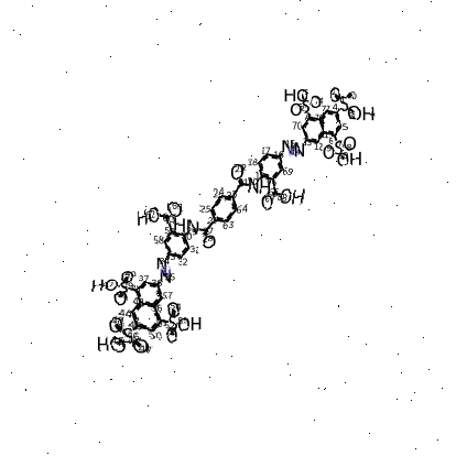 C=S(=O)(O)c1cc(S(=O)(=O)O)c2cc(/N=N/c3ccc(NC(=O)c4ccc(C(=O)Nc5ccc(/N=N/c6cc(S(=O)(=O)O)c7cc(S(=O)(=O)O)cc(S(=O)(=O)O)c7c6)cc5C(=O)O)cc4)c(C(=O)O)c3)cc(S(=O)(=O)O)c2c1